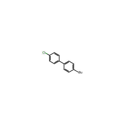 [CH2]C(CC)c1ccc(-c2ccc(Cl)cc2)cc1